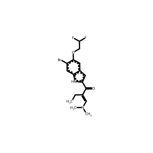 CC/C(=C\N(C)C)C(=O)c1cc2cc(OCC(F)F)c(Br)cc2[nH]1